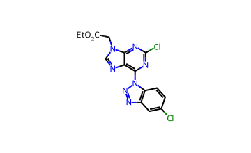 CCOC(=O)Cn1cnc2c(-n3nnc4cc(Cl)ccc43)nc(Cl)nc21